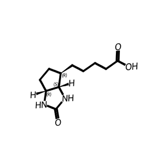 O=C(O)CCCC[C@@H]1CC[C@H]2NC(=O)N[C@@H]12